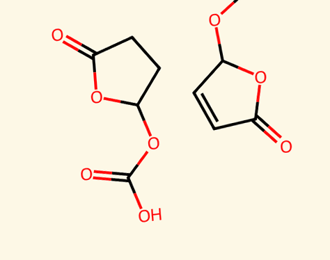 COC1C=CC(=O)O1.O=C(O)OC1CCC(=O)O1